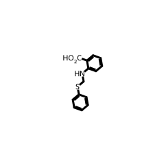 O=C(O)c1ccccc1NCSc1ccccc1